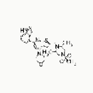 CC1CN(S(C)(=O)=O)CC(C)N1Cc1cc2c(N3CCOCC3)nc(-c3cccc4[nH]ncc34)nc2s1